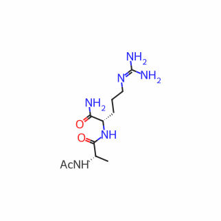 CC(=O)N[C@@H](C)C(=O)N[C@@H](CCCN=C(N)N)C(N)=O